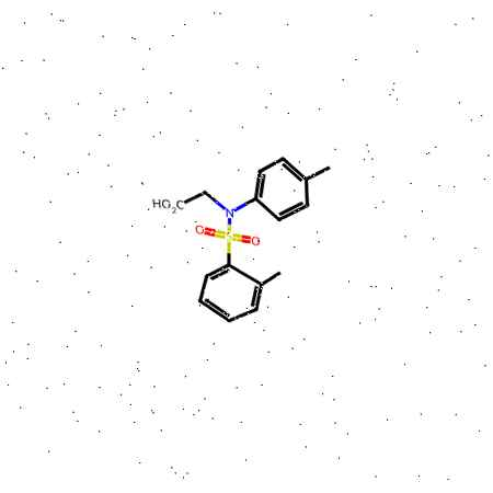 Cc1ccc(N(CC(=O)O)S(=O)(=O)c2ccccc2C)cc1